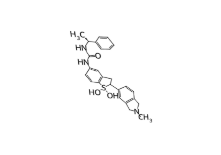 C[C@H](NC(=O)Nc1ccc2c(c1)CC(c1ccc3c(c1)CN(C)C3)S2(O)O)c1ccccc1